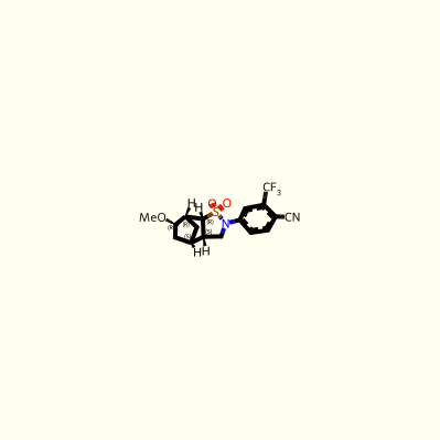 CO[C@@H]1C[C@@H]2C[C@H]1[C@H]1[C@@H]2CN(c2ccc(C#N)c(C(F)(F)F)c2)S1(=O)=O